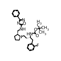 CC(C)(C)OC(=O)N[C@@H](CCN1CCC[C@H]1CNc1nc(-c2ccccc2)no1)Cc1ccccc1F